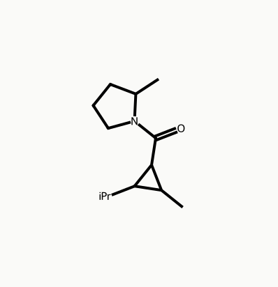 CC(C)C1C(C)C1C(=O)N1CCCC1C